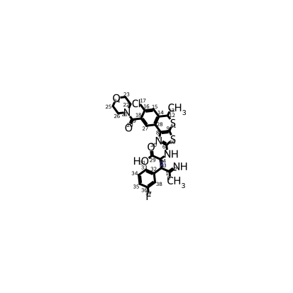 CC(=N)/C(=C(\Nc1nc2c(s1)SC(C)c1cc(Cl)c(C(=O)N3CCOCC3)cc1-2)C(=O)O)c1cccc(F)c1